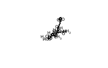 COc1cc(C(=O)N[C@@H](C)C(=O)O)ccc1NC(=O)C(CCCNC(N)=O)NC(=O)CNC(=O)CCCCCN1C(=O)C=CC1=O